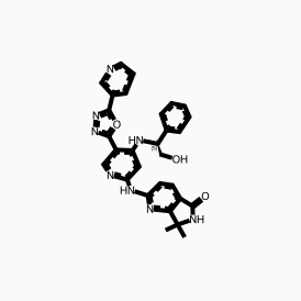 CC1(C)NC(=O)c2ccc(Nc3cc(N[C@H](CO)c4ccccc4)c(-c4nnc(-c5cccnc5)o4)cn3)nc21